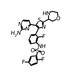 Nc1nccc(-c2sc(C3COCCN3)nc2-c2cccc(NS(=O)(=O)c3cc(F)ccc3F)c2F)n1